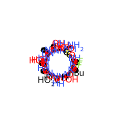 CCCC[C@H]1C(=O)N2C[C@H](O)C[C@@H]2C(=O)N[C@@H](CC(=O)O)C(=O)N[C@@H](C(C)C)C(=O)N(C)[C@@H](Cc2ccccc2)C(=O)N[C@@H](Cc2ccc(O)cc2)C(=O)N(CCO)C(=O)N[C@@H](Cc2c[nH]c3ccccc23)C(=O)N[C@@H](Cc2ccc(O)cc2)C(=O)N[C@@H](CCO)C(=O)N[C@H](C(=O)NCC(N)=O)CSCC(=O)N[C@@H](Cc2cc(F)c(F)c(F)c2)C(=O)N(C)[C@@H](Cc2ccccc2)C(=O)N1C